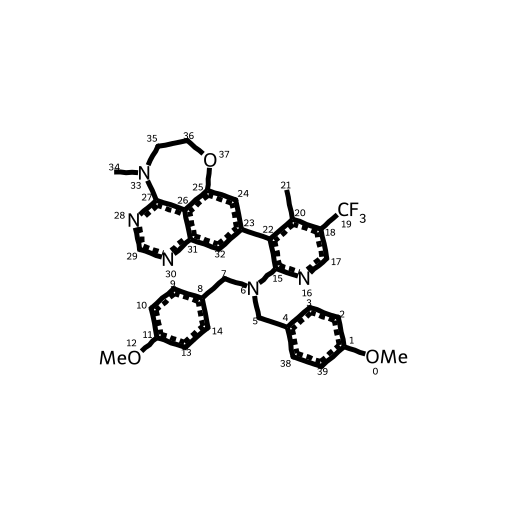 COc1ccc(CN(Cc2ccc(OC)cc2)c2ncc(C(F)(F)F)c(C)c2-c2cc3c4c(ncnc4c2)N(C)CCO3)cc1